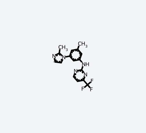 Cc1cc(Nc2nccc(C(F)(F)F)n2)cc(-n2c[c]nc2C)c1